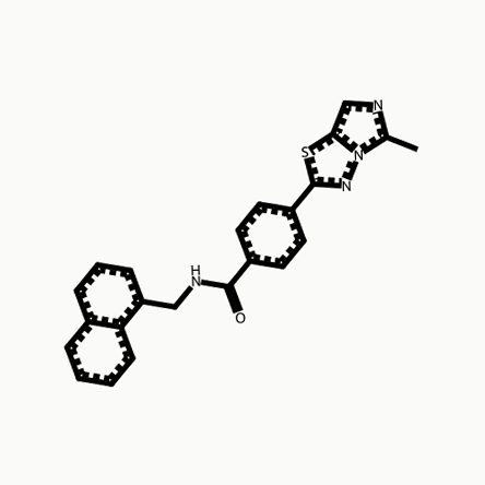 Cc1ncc2sc(-c3ccc(C(=O)NCc4cccc5ccccc45)cc3)nn12